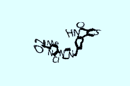 CNC(=O)c1ccc(N2CCN(Cc3ccc4c(c3)[nH]c(=O)c3cscc34)CC2)c(Cl)n1